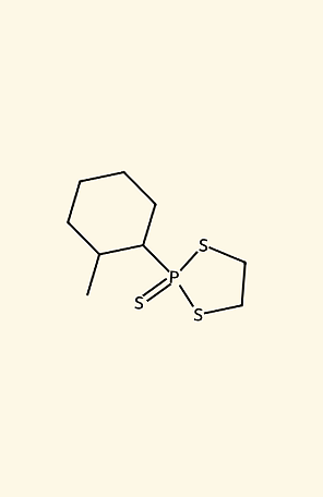 CC1CCCCC1P1(=S)SCCS1